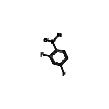 CC[S+]([O-])c1ccc(F)cc1F